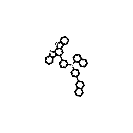 c1cc(-c2cc3c4ccccc4oc3c3sc4ccccc4c23)cc(N(c2ccc(-c3ccc4ccccc4c3)cc2)c2cccc3ccccc23)c1